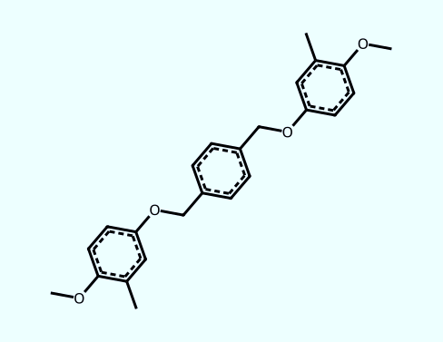 COc1ccc(OCc2ccc(COc3ccc(OC)c(C)c3)cc2)cc1C